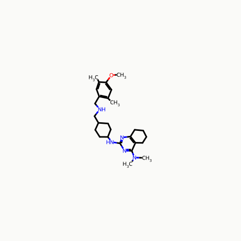 COc1cc(C)c(CNCC2CCC(Nc3nc4c(c(N(C)C)n3)CCCC4)CC2)cc1C